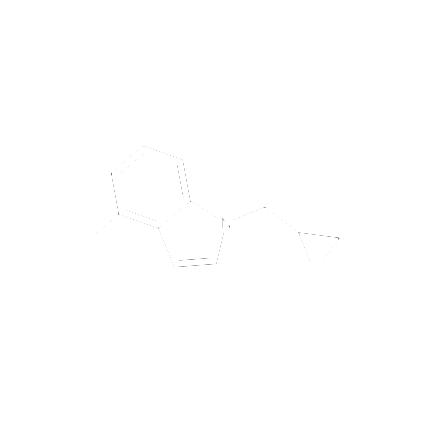 Fc1cccc2c1ccn2CC1CO1